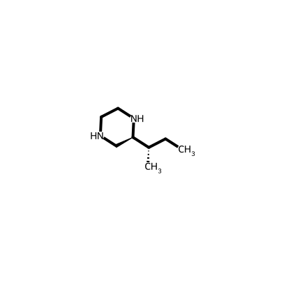 CC[C@H](C)[C@H]1CNCCN1